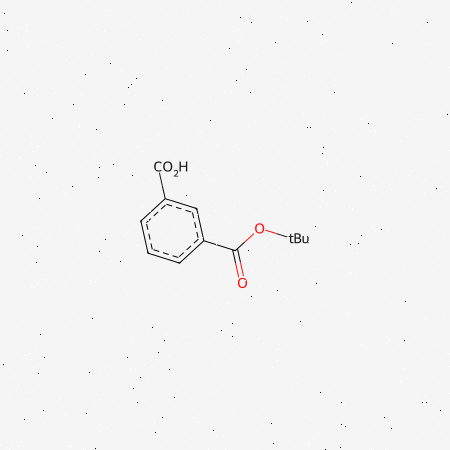 CC(C)(C)OC(=O)c1cccc(C(=O)O)c1